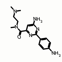 CN(C)CCN(C)C(=O)c1cc(N)nc(-c2ccc(N)cc2)n1